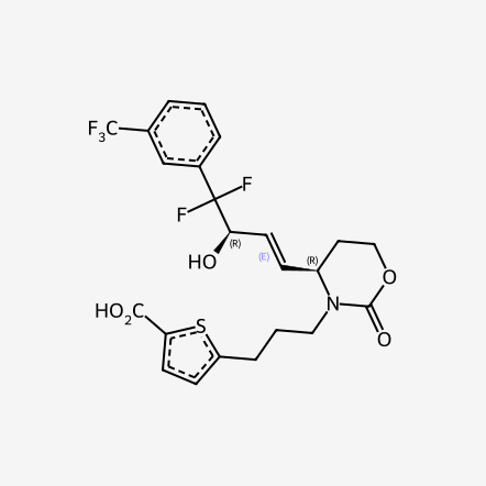 O=C(O)c1ccc(CCCN2C(=O)OCC[C@@H]2/C=C/[C@@H](O)C(F)(F)c2cccc(C(F)(F)F)c2)s1